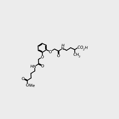 COC(=O)CCCNC(=O)COc1ccccc1OCC(=O)NCCC(C)C(=O)O